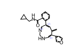 C=C1/C=C(c2ccccc2C(=O)NCC2CC2)\C=N/CN/C=C\1c1ccoc1